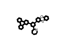 C1=CC=CC=NC=1c1cc(-c2ccc3c(c2)Sc2ccccc2O3)cc(-c2ccc3c4ccccc4c4ccccc4c3c2)c1